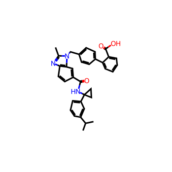 Cc1nc2ccc(C(=O)NC3(c4cccc(C(C)C)c4)CC3)cc2n1Cc1ccc(-c2ccccc2C(=O)O)cc1